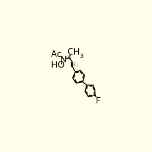 CC(=O)N(O)[C@@H](C)/C=C/c1ccc(-c2ccc(F)cc2)cc1